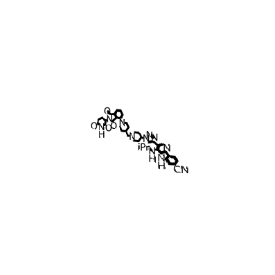 CC(C)Nc1c(-c2cn(C3CCN(CC4CCN(c5cccc6c5C(=O)N(C5CCC(=O)NC5=O)C6=O)CC4)CC3)nn2)cnc2c1[nH]c1cc(C#N)ccc12